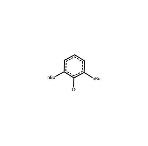 CCCCc1cccc(CCCC)c1[O]